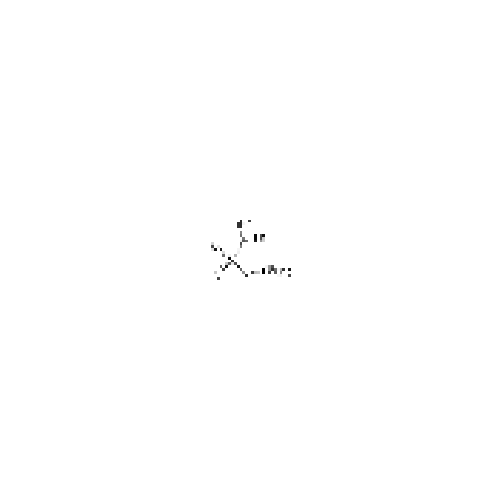 CCCCCCS(=O)(=O)OC(C)C.F